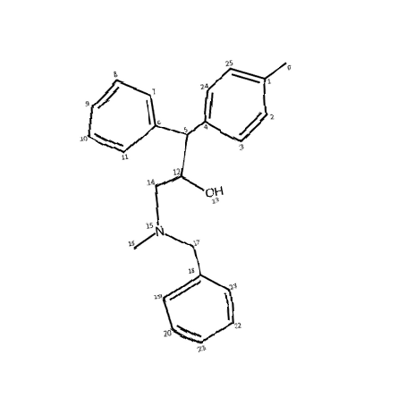 Cc1ccc(C(c2ccccc2)C(O)CN(C)Cc2ccccc2)cc1